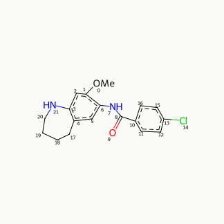 COc1cc2c(cc1NC(=O)c1ccc(Cl)cc1)CCCCN2